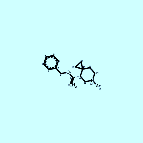 C=C(OCc1ccccc1)[C@H]1CN(C(C)=O)CCC12CC2